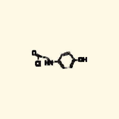 O=C(Cl)CNc1ccc(O)cc1